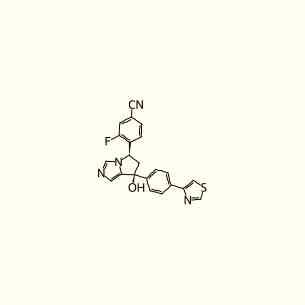 N#Cc1ccc([C@H]2C[C@](O)(c3ccc(-c4cscn4)cc3)c3cncn32)c(F)c1